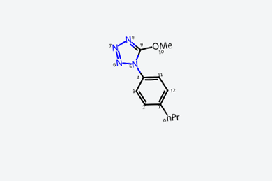 [CH2]CCc1ccc(-n2nnnc2OC)cc1